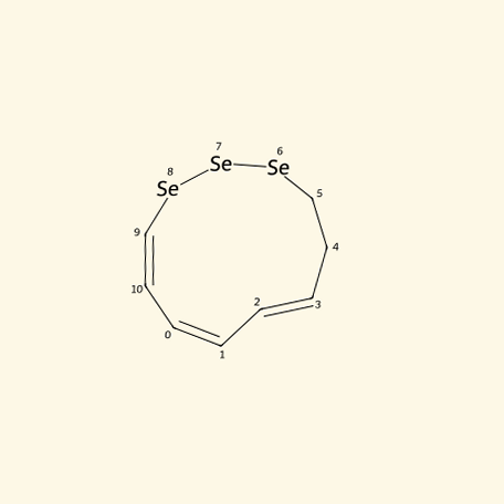 C1=C\C=C\CC[Se][Se][Se]\C=C/1